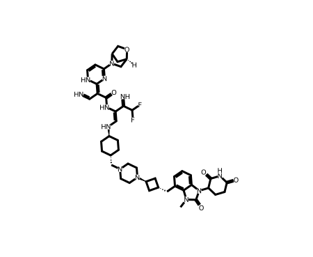 Cn1c(=O)n(C2CCC(=O)NC2=O)c2cccc(C[C@H]3C[C@H](N4CCN(C[C@H]5CC[C@H](N/C=C(\NC(=O)/C(C=N)=C6\N=C(N7C[C@H]8CC7CO8)C=CN6)C(=N)C(F)F)CC5)CC4)C3)c21